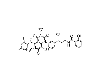 Cc1c(=O)n(C)c(Nc2ccc(I)cc2F)c2c(=O)n(C3CC3)c(=O)n(-c3cccc(C(CCNC(=O)c4ccccc4O)C4CC4)c3)c12